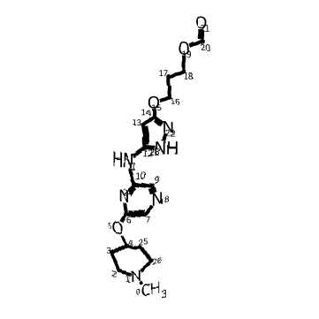 CN1CCC(Oc2cncc(Nc3cc(OCCCOC=O)n[nH]3)n2)CC1